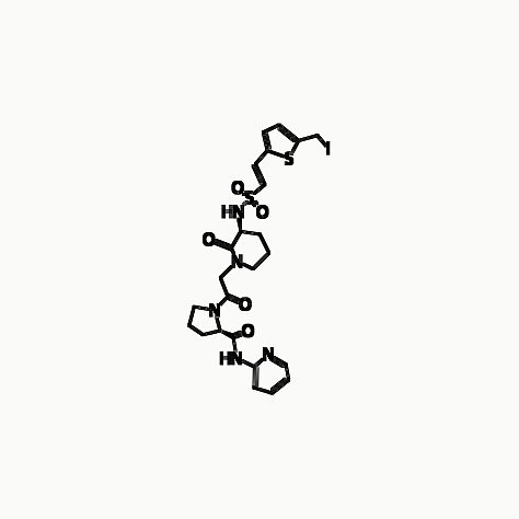 O=C(Nc1ccccn1)[C@H]1CCCN1C(=O)CN1CCC[C@H](NS(=O)(=O)/C=C/c2ccc(CI)s2)C1=O